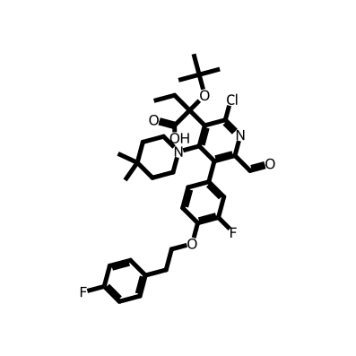 CCC(OC(C)(C)C)(C(=O)O)c1c(Cl)nc(C=O)c(-c2ccc(OCCc3ccc(F)cc3)c(F)c2)c1N1CCC(C)(C)CC1